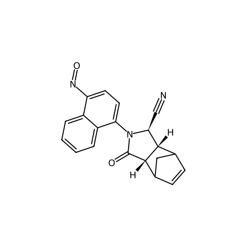 N#C[C@H]1[C@@H]2C3C=CC(C3)[C@@H]2C(=O)N1c1ccc(N=O)c2ccccc12